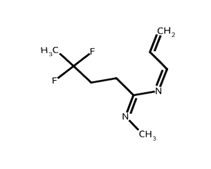 C=C/C=N\C(CCC(C)(F)F)=N/C